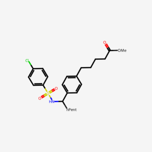 CCCCCC(NS(=O)(=O)c1ccc(Cl)cc1)c1ccc(CCCCC(=O)OC)cc1